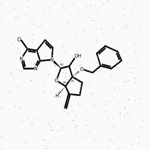 C=C1CC[C@]2(OCc3ccccc3)C(O)[C@H](n3ccc4c(Cl)ncnc43)O[C@H]12